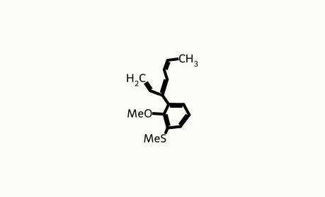 C=C/C(=C\C=C/C)c1cccc(SC)c1OC